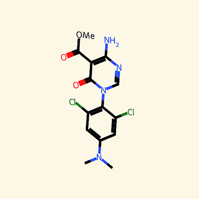 COC(=O)c1c(N)ncn(-c2c(Cl)cc(N(C)C)cc2Cl)c1=O